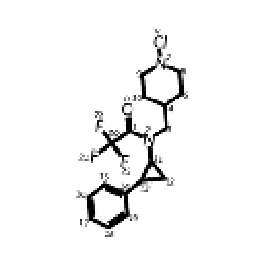 O=C(N(CC1CCN(Cl)CC1)C1CC1c1ccccc1)C(F)(F)F